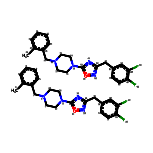 Cc1ccccc1CN1CCN(c2nc(Cc3ccc(F)c(F)c3)no2)CC1.Cc1ccccc1CN1CCN(c2nc(Cc3ccc(F)c(F)c3)no2)CC1